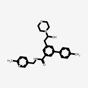 Cc1ccc(-c2cc(CC(O)N3CCOCC3)cc(C(=O)NCc3ccc(C)nc3)c2)cc1